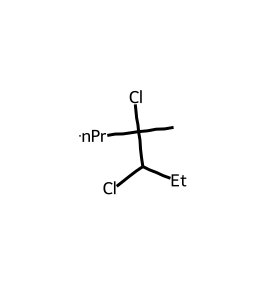 CC[CH]C(C)(Cl)C(Cl)CC